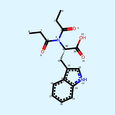 CCC(=O)N(C(=O)CC)[C@@H](Cc1c[nH]c2ccccc12)C(=O)O